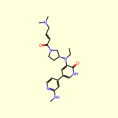 CCN(c1cc(-c2ccnc(NC)c2)c[nH]c1=O)[C@H]1CCN(C(=O)C=CCN(C)C)C1